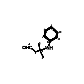 CC(C)(CC=O)Nc1ccccc1